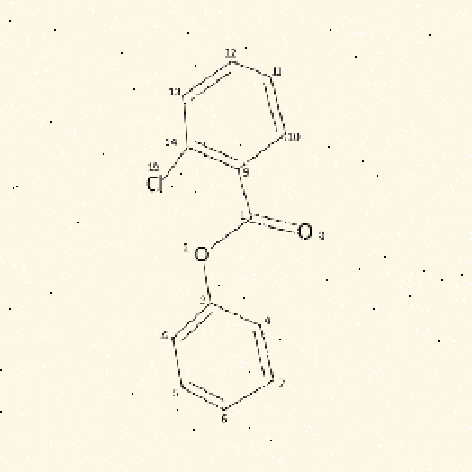 O=C(Oc1ccccc1)c1[c]cccc1Cl